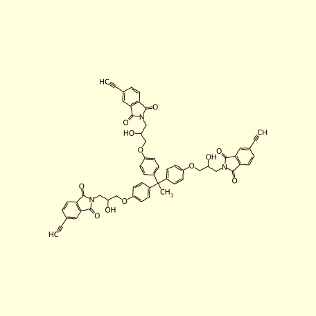 C#Cc1ccc2c(c1)C(=O)N(CC(O)COc1ccc(C(C)(c3ccc(OCC(O)CN4C(=O)c5ccc(C#C)cc5C4=O)cc3)c3ccc(OCC(O)CN4C(=O)c5ccc(C#C)cc5C4=O)cc3)cc1)C2=O